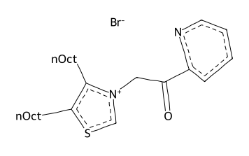 CCCCCCCCc1sc[n+](CC(=O)c2ccccn2)c1CCCCCCCC.[Br-]